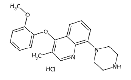 COc1ccccc1Oc1c(C)cnc2c(N3CCNCC3)cccc12.Cl